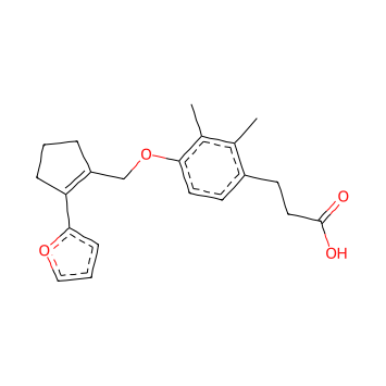 Cc1c(CCC(=O)O)ccc(OCC2=C(c3ccco3)CCC2)c1C